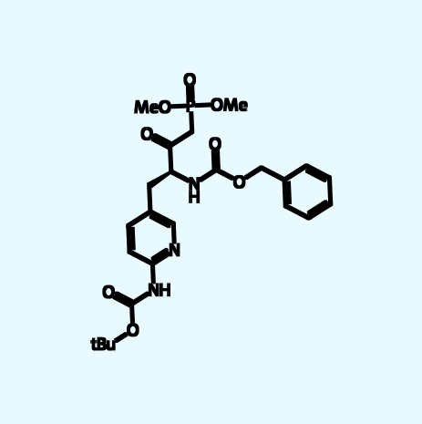 COP(=O)(CC(=O)[C@H](Cc1ccc(NC(=O)OC(C)(C)C)nc1)NC(=O)OCc1ccccc1)OC